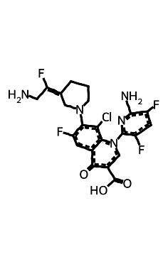 NC/C(F)=C1/CCCN(c2c(F)cc3c(=O)c(C(=O)O)cn(-c4nc(N)c(F)cc4F)c3c2Cl)C1